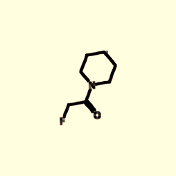 O=C(CF)N1CC[CH]CC1